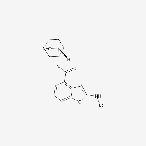 CCNc1nc2c(C(=O)N[C@@H]3CN4CCC3CC4)cccc2o1